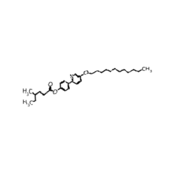 CCCCCCCCCCCCOc1ccc(-c2ccc(OC(=O)CCC(C)CC)cc2)nc1